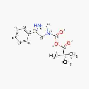 CC(C)(C)C(=O)OC(=O)N1CNC(c2ccccc2)C1